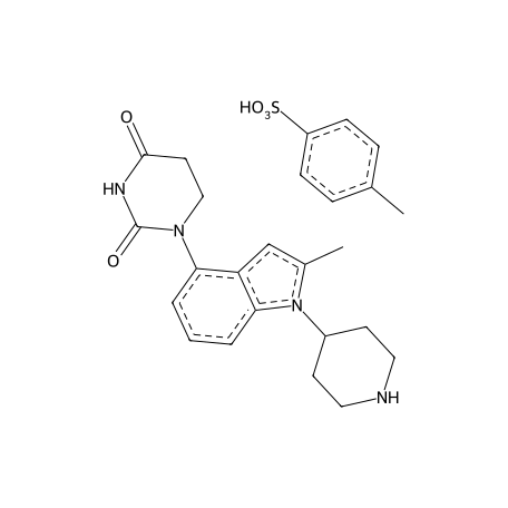 Cc1cc2c(N3CCC(=O)NC3=O)cccc2n1C1CCNCC1.Cc1ccc(S(=O)(=O)O)cc1